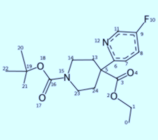 CCOC(=O)C1(c2ccc(F)cn2)CCN(C(=O)OC(C)(C)C)CC1